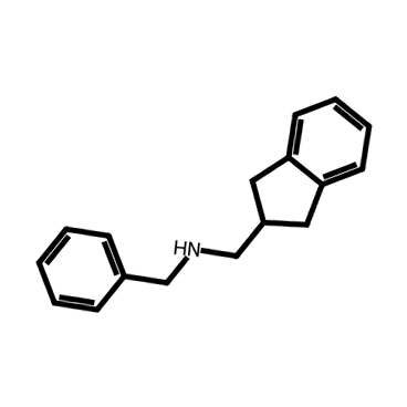 c1ccc(CNCC2Cc3ccccc3C2)cc1